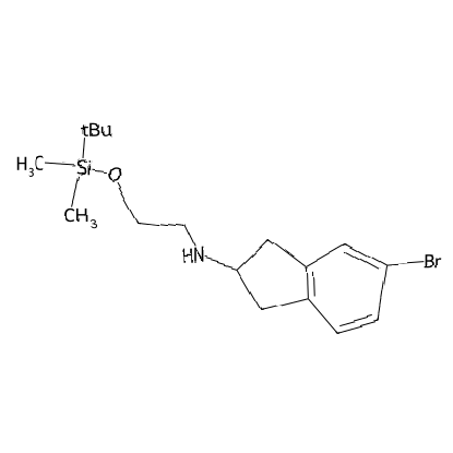 CC(C)(C)[Si](C)(C)OCCNC1Cc2ccc(Br)cc2C1